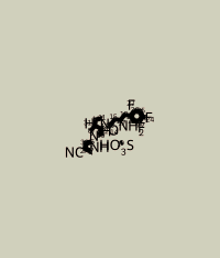 CS(=O)(=O)O.N#Cc1c[nH]c(N2C[C@@H]3CCN(C(=O)C[C@H](N)Cc4cc(F)c(F)cc4F)[C@@H]3C2)c1